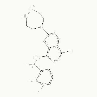 Cc1c([C@@H](C)Nc2nnc(C)c3ccc(N4CCNS(=O)(=O)CC4)cc23)cccc1C(F)(F)F